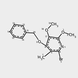 COc1nc(Br)c(C)c(OCc2ccccc2)c1OC